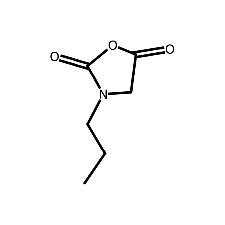 CCCN1CC(=O)OC1=O